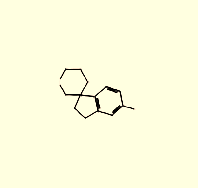 Cc1ccc2c(c1)CCC21CCCNC1